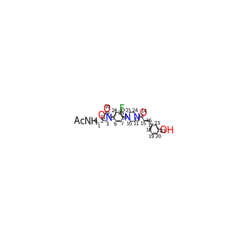 CC(=O)NC[C@H]1CN(c2ccc(N3CCN(C(=O)C=Cc4cccc(O)c4)CC3)c(F)c2)C(=O)O1